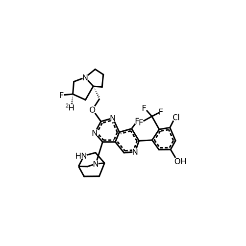 [2H][C@]1(F)CN2CCC[C@@]2(COc2nc(N3CC4CCC3CN4)c3cnc(-c4cc(O)cc(Cl)c4C(F)(F)F)c(F)c3n2)C1